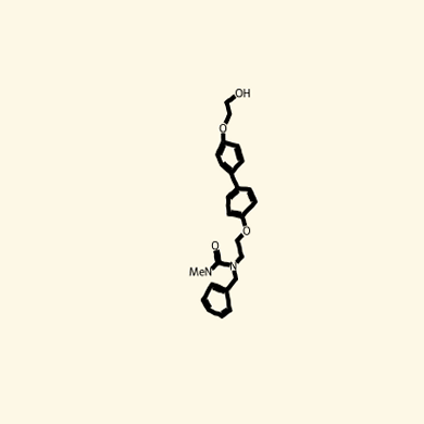 CNC(=O)N(CCOc1ccc(-c2ccc(OCCO)cc2)cc1)Cc1ccccc1